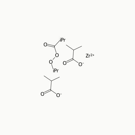 CC(C)C(=O)[O-].CC(C)C(=O)[O-].CC(C)OOC(=O)C(C)C.[Zr+2]